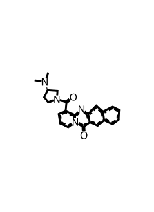 CN(C)[C@H]1CCN(C(=O)c2cccn3c(=O)c4cc5ccccc5cc4nc23)C1